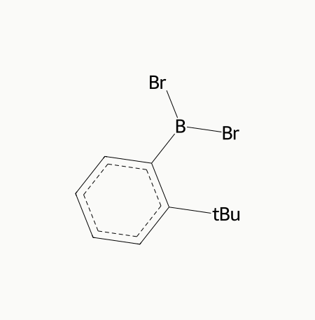 CC(C)(C)c1ccccc1B(Br)Br